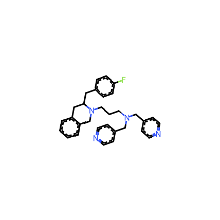 Fc1ccc(CC2Cc3ccccc3CN2CCCN(Cc2ccncc2)Cc2ccncc2)cc1